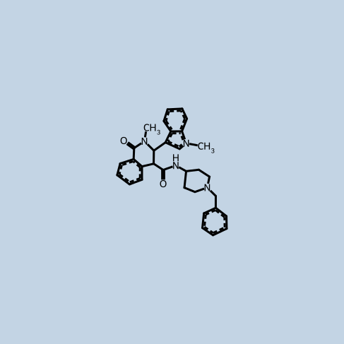 CN1C(=O)c2ccccc2C(C(=O)NC2CCN(Cc3ccccc3)CC2)C1c1cn(C)c2ccccc12